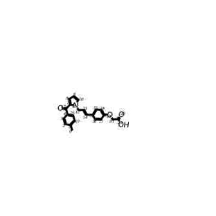 Cc1ccc(C(=O)c2cccn2C/C=C/c2ccc(OCC(=O)O)cc2)cc1